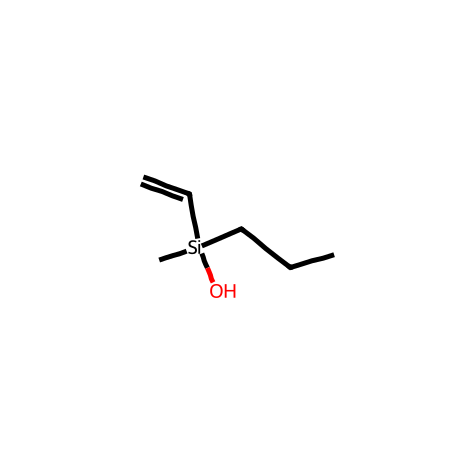 C=C[Si](C)(O)CCC